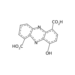 O=C(O)c1cccc2nc3c(C(=O)O)ccc(O)c3nc12